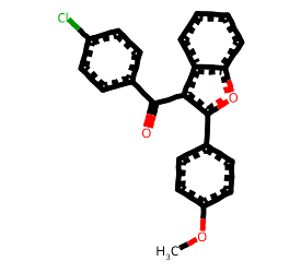 COc1ccc(-c2oc3ccccc3c2C(=O)c2ccc(Cl)cc2)cc1